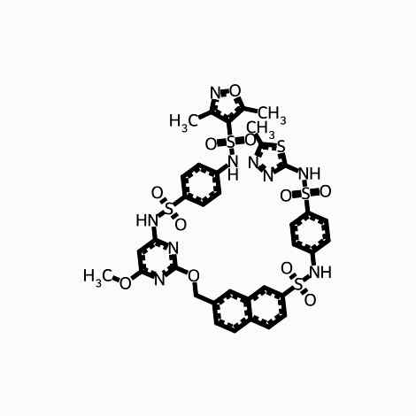 COc1cc(NS(=O)(=O)c2ccc(NS(=O)(=O)c3c(C)noc3C)cc2)nc(OCc2ccc3ccc(S(=O)(=O)Nc4ccc(S(=O)(=O)Nc5nnc(C)s5)cc4)cc3c2)n1